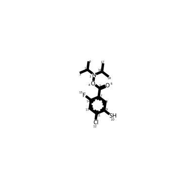 CC(C)N(OC(=O)c1cc(S)c(Cl)cc1F)C(C)C